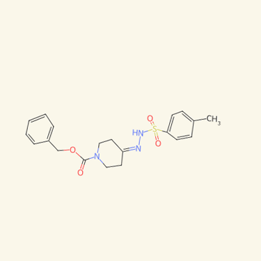 Cc1ccc(S(=O)(=O)NN=C2CCN(C(=O)OCc3ccccc3)CC2)cc1